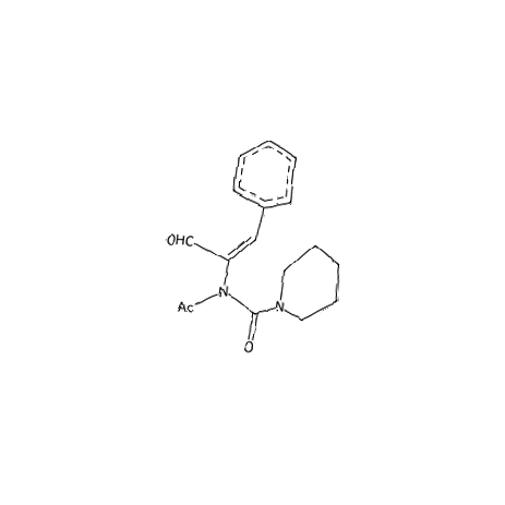 CC(=O)N(C(=O)N1CCCCC1)C([C]=O)=Cc1ccccc1